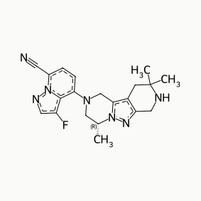 C[C@@H]1CN(c2ccc(C#N)n3ncc(F)c23)Cc2c3c(nn21)CNC(C)(C)C3